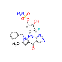 Cc1cc(C(=O)c2cncnc2N[C@@H]2C[C@H](COS(N)(=O)=O)[C@@H](O)[C@@H]2F)cn1Cc1ccccc1